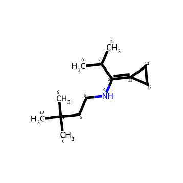 CC(C)C(NCCC(C)(C)C)=C1CC1